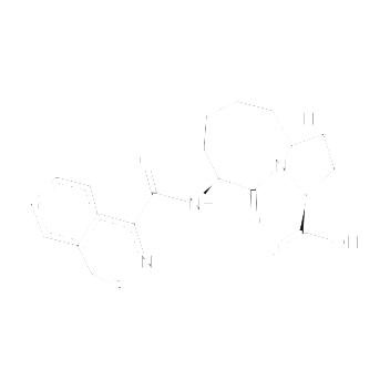 O=C(N[C@H]1CCCC[C@H]2CC[C@@H](C(=O)O)N2C1=O)c1nccc2ccccc12